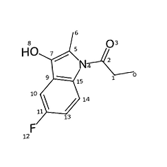 CCC(=O)n1c(C)c(O)c2cc(F)ccc21